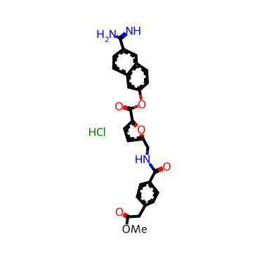 COC(=O)Cc1ccc(C(=O)NCc2ccc(C(=O)Oc3ccc4cc(C(=N)N)ccc4c3)o2)cc1.Cl